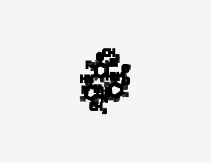 COc1c(Br)ccc(Nc2ncc(C)c(Nc3ccc4oc(=O)[nH]c4c3)n2)c1F